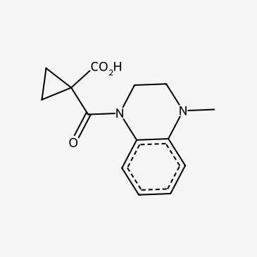 CN1CCN(C(=O)C2(C(=O)O)CC2)c2ccccc21